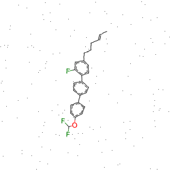 CC=CCCCc1ccc(-c2ccc(-c3ccc(OC(F)F)cc3)cc2)c(F)c1